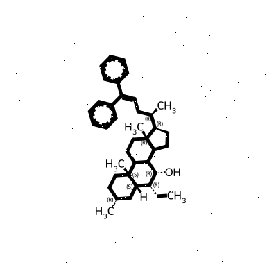 CC[C@H]1[C@@H](O)C2C3CC[C@H]([C@H](C)CC=C(c4ccccc4)c4ccccc4)[C@@]3(C)CCC2[C@@]2(C)CC[C@@H](C)C[C@@H]12